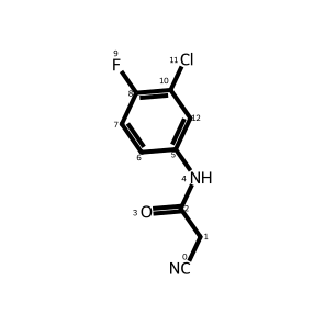 N#CCC(=O)Nc1ccc(F)c(Cl)c1